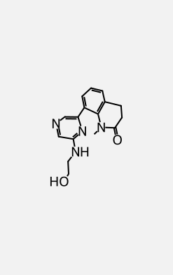 CN1C(=O)CCc2cccc(-c3cncc(NCCO)n3)c21